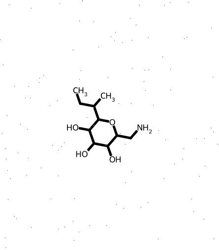 CCC(C)C1OC(CN)C(O)C(O)C1O